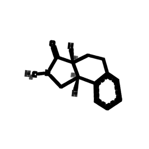 CN1C[C@H]2c3ccccc3CC[C@H]2C1=O